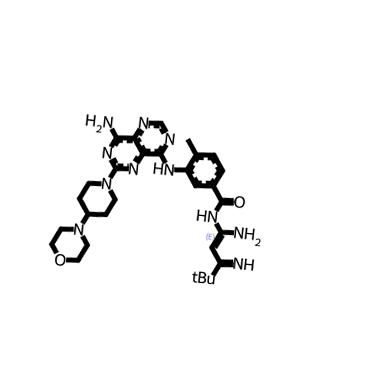 Cc1ccc(C(=O)N/C(N)=C/C(=N)C(C)(C)C)cc1Nc1ncnc2c(N)nc(N3CCC(N4CCOCC4)CC3)nc12